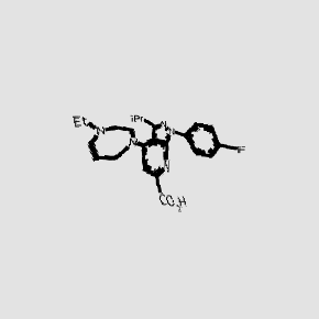 CCN1CCCN(c2cc(C(=O)O)nc3c2c(C(C)C)nn3-c2ccc(F)cc2)CC1